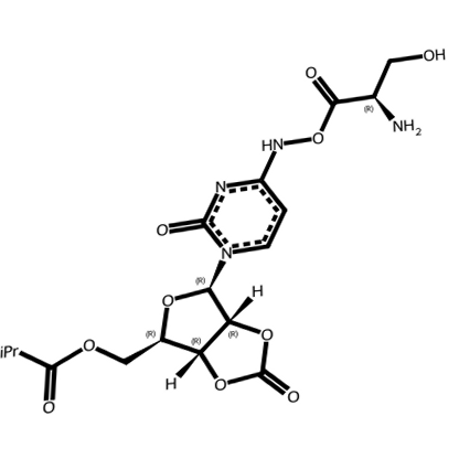 CC(C)C(=O)OC[C@H]1O[C@@H](n2ccc(NOC(=O)[C@H](N)CO)nc2=O)[C@@H]2OC(=O)O[C@@H]21